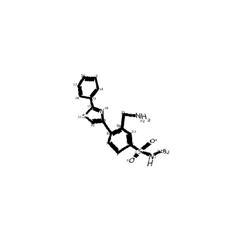 CC(C)(C)NS(=O)(=O)c1ccc(-c2csc(-c3cc[c]cc3)n2)c(CN)c1